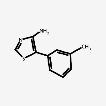 Cc1cccc(-c2scnc2N)c1